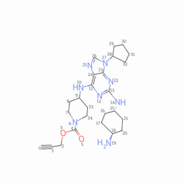 C#CCOC(=O)N1CCC(Nc2nc(N[C@H]3CC[C@H](N)CC3)nc3c2ncn3C2CCCC2)CC1